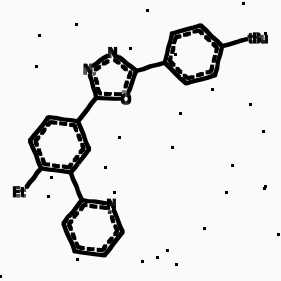 CCc1ccc(-c2nnc(-c3ccc(C(C)(C)C)cc3)o2)cc1-c1ccccn1